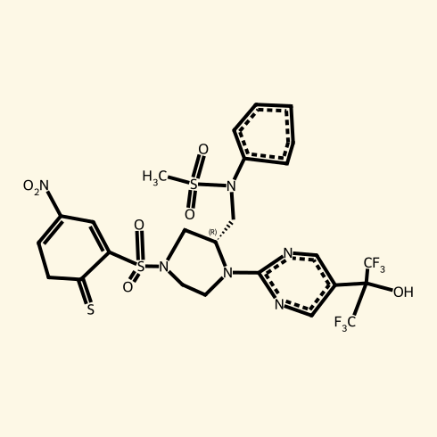 CS(=O)(=O)N(C[C@H]1CN(S(=O)(=O)C2=CC([N+](=O)[O-])=CCC2=S)CCN1c1ncc(C(O)(C(F)(F)F)C(F)(F)F)cn1)c1ccccc1